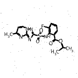 Cc1ccn2nc(S(=O)(=O)Nc3c(F)cccc3C(=O)OC(C)C)nc2n1